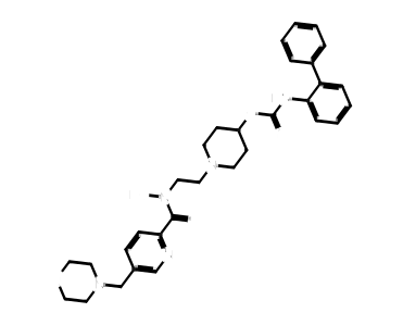 CN(CCN1CCC(OC(=O)Nc2ccccc2-c2ccccc2)CC1)C(=O)c1ccc(CN2CCOCC2)cn1